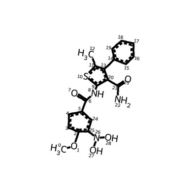 COc1ccc(C(=O)Nc2sc(C)c(-c3ccccc3)c2C(N)=O)cc1N(O)O